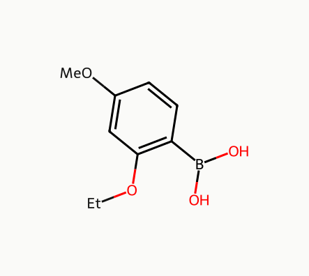 CCOc1cc(OC)ccc1B(O)O